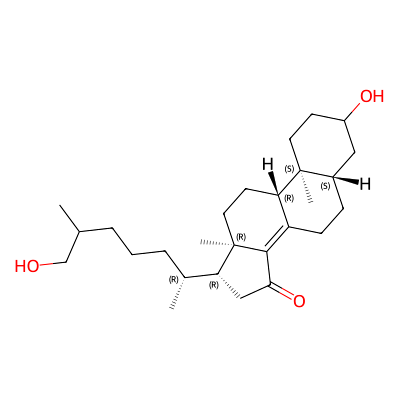 CC(CO)CCC[C@@H](C)[C@H]1CC(=O)C2=C3CC[C@H]4CC(O)CC[C@]4(C)[C@H]3CC[C@@]21C